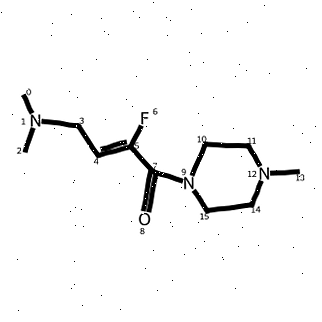 CN(C)C/C=C(\F)C(=O)N1CCN(C)CC1